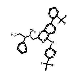 CCC(c1ccccc1)N(C)Cc1nc(Nc2ccc(C(F)(F)F)nc2)c2ccc(-c3ncccc3C(F)(F)F)cc2n1